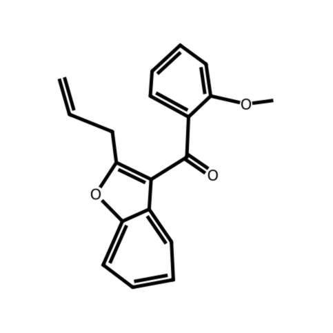 C=CCc1oc2ccccc2c1C(=O)c1ccccc1OC